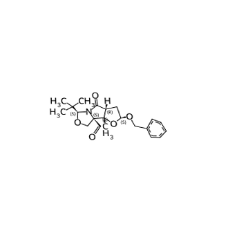 CC(C)(C)[C@@H]1OC[C@]2(C=O)N1C(=O)[C@@H]1C[C@@H](OCc3ccccc3)O[C@@]12C